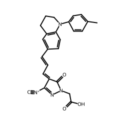 [C-]#[N+]C1=NN(CC(=O)O)C(=O)/C1=C\C=C\c1ccc2c(c1)CCCN2c1ccc(C)cc1